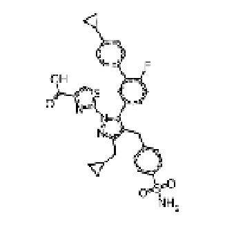 NS(=O)(=O)c1ccc(Cc2c(CC3CC3)nn(-c3nc(C(=O)O)cs3)c2-c2ccc(F)c(-c3ccc(C4CC4)cc3)c2)cc1